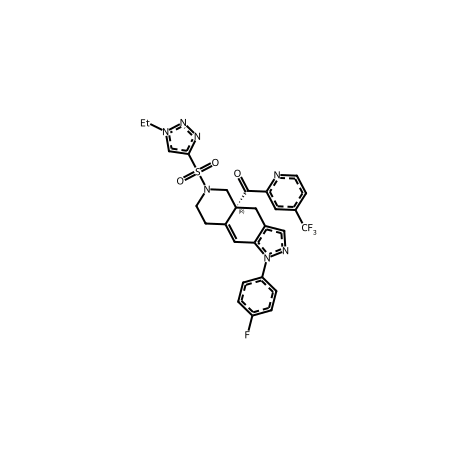 CCn1cc(S(=O)(=O)N2CCC3=Cc4c(cnn4-c4ccc(F)cc4)C[C@]3(C(=O)c3cc(C(F)(F)F)ccn3)C2)nn1